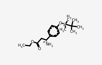 CCOC(=O)C[C@@H](N)c1ccc(O[Si](C)(C)C(C)(C)C)cc1